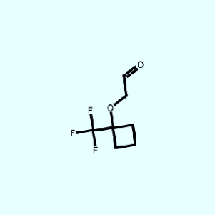 O=CCOC1(C(F)(F)F)CCC1